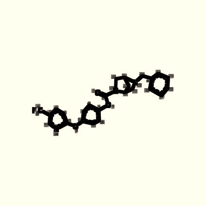 O=C(Oc1ccc(Oc2ccc(C(F)(F)F)cn2)cc1)N1CC2CC1CN2Cc1ccccc1